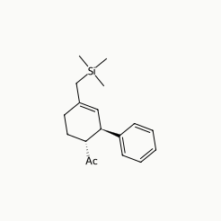 CC(=O)[C@@H]1CCC(C[Si](C)(C)C)=C[C@H]1c1ccccc1